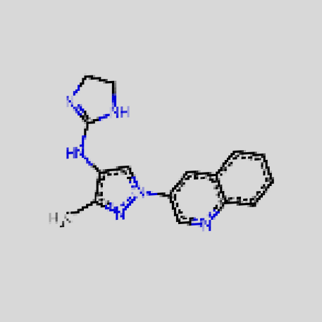 Cc1nn(-c2cnc3ccccc3c2)cc1NC1=NCCN1